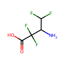 NC(C(F)F)C(F)(F)C(=O)O